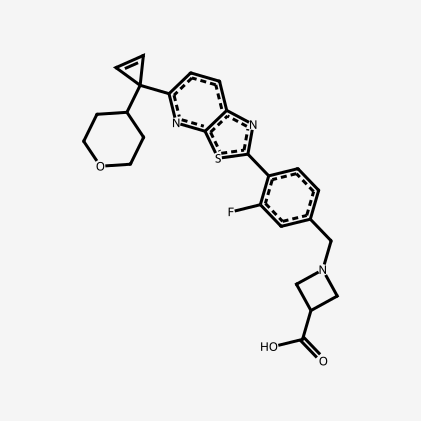 O=C(O)C1CN(Cc2ccc(-c3nc4ccc(C5(C6CCOCC6)C=C5)nc4s3)c(F)c2)C1